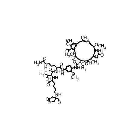 COc1cc(NC(=O)[C@H](CCCNC(N)=O)NC(=O)[C@@H](NC(C=O)CCCCNC(C=O)(CBr)CBr)C(C)C)ccc1NC(=O)O[C@H]1CC(=O)N(C)c2cc(cc(OC)c2Cl)C/C(C)=C/C=C/[C@@H](OC)[C@@]2(O)C[C@H](OC(=O)N2)[C@@H](C)[C@@H]2O[C@@]12C